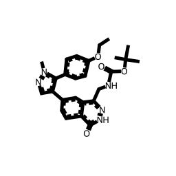 CCOc1ccc(-c2c(-c3ccc4c(=O)[nH]nc(CNC(=O)OC(C)(C)C)c4c3)cnn2C)cc1